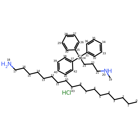 CCCCCCCCCCCCCCCCCCN.CNCCC[Si](c1ccccc1)(c1ccccc1)c1ccccc1.Cl